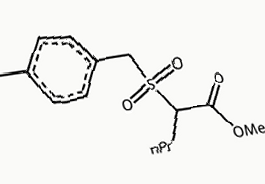 CCCC(C(=O)OC)S(=O)(=O)Cc1ccc(C)cc1